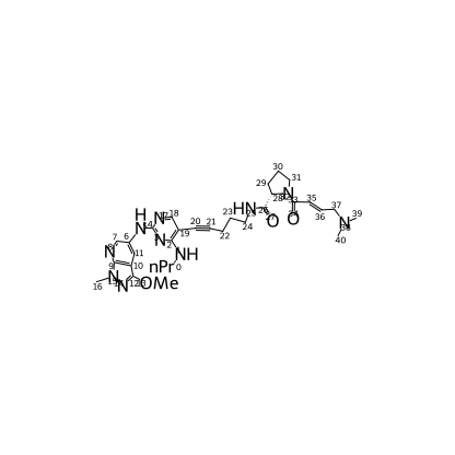 CCCNc1nc(Nc2cnc3c(c2)c(OC)nn3C)ncc1C#CCCCNC(=O)[C@@H]1CCCN1C(=O)/C=C/CN(C)C